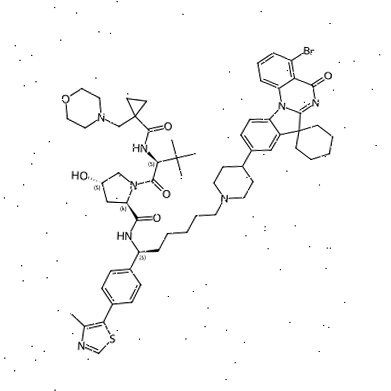 Cc1ncsc1-c1ccc([C@H](CCCCCN2CCC(c3ccc4c(c3)C3(CCCCC3)c3nc(=O)c5c(Br)cccc5n3-4)CC2)NC(=O)[C@H]2C[C@H](O)CN2C(=O)[C@@H](NC(=O)C2(CN3CCOCC3)CC2)C(C)(C)C)cc1